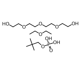 CC(C)(C)COP(=O)(O)O.CCOCC.OCCOCCOCCOCCO